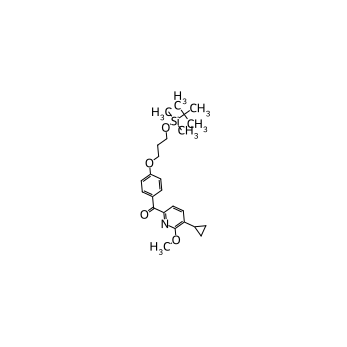 COc1nc(C(=O)c2ccc(OCCCO[Si](C)(C)C(C)(C)C)cc2)ccc1C1CC1